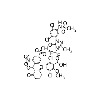 COc1c(Cl)ccc(Cl)c1C(=O)O.CS(=O)(=O)c1ccc(C(=O)C2C(=O)CCCC2=O)c([N+](=O)[O-])c1.Cc1nn(-c2cc(NS(C)(=O)=O)c(Cl)cc2Cl)c(=O)n1C(F)F